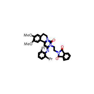 COc1cc2c(cc1OC)-c1cc(=Nc3c(C(C)C)cccc3C(C)C)n(CCN3C(=O)c4ccccc4C3=O)c(=O)n1CC2